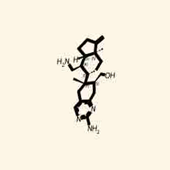 C=C1CC[C@H]2[C@H](CN)[C@@H]([C@@]3(C)Cc4cnc(N)nc4C[C@@H]3CO)CC[C@]12C